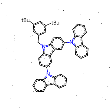 CC(C)(C)c1cc(Cn2c3ccc(-n4c5ccccc5c5ccccc54)cc3c3cc(-n4c5ccccc5c5ccccc54)ccc32)cc(C(C)(C)C)c1